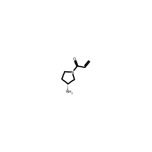 C=CC(=O)N1CC[C@@H](N)C1